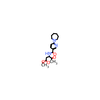 COC(=O)CC(NC(=O)c1ccc(N2CCCCCC2)nc1)C(C)=O